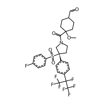 COC1(C(=O)N2CC[C@](c3ccc(C(F)(C(F)(F)F)C(F)(F)F)cc3)(S(=O)(=O)c3ccc(F)cc3)C2)CCC(C=O)CC1